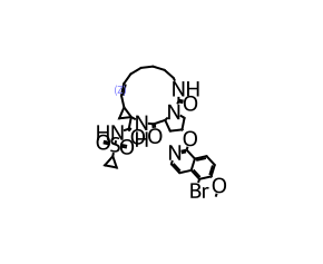 COc1ccc2c(OC3CC4C(=O)NC5(C(=O)NS(=O)(=O)C6CC6)CC5/C=C\CCCCCNC(=O)N4C3)nccc2c1Br